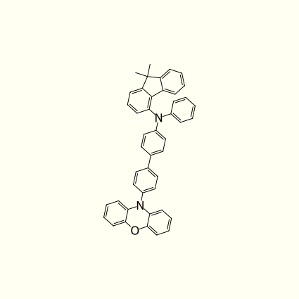 CC1(C)c2ccccc2-c2c(N(c3ccccc3)c3ccc(-c4ccc(N5c6ccccc6Oc6ccccc65)cc4)cc3)cccc21